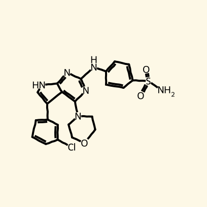 NS(=O)(=O)c1ccc(Nc2nc(N3CCOCC3)c3c(-c4cccc(Cl)c4)c[nH]c3n2)cc1